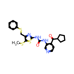 CSc1sc(NC(=O)Nc2cnccc2C(=O)C2CCCC2)nc1CSc1ccccc1